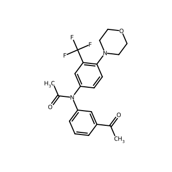 CC(=O)c1cccc(N(C(C)=O)c2ccc(N3CCOCC3)c(C(F)(F)F)c2)c1